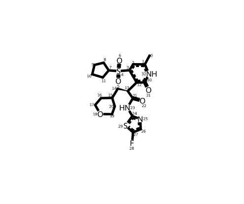 Cc1cc(S(=O)(=O)C2CCCC2)c([C@H](CC2CCOCC2)C(=O)Nc2ncc(F)s2)c(=O)[nH]1